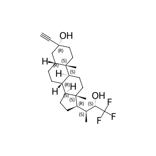 C#C[C@@]1(O)CC[C@@]2(C)[C@H](CC[C@@H]3[C@@H]2CC[C@]2(C)[C@@H]([C@H](C)[C@H](O)C(F)(F)F)CC[C@@H]32)C1